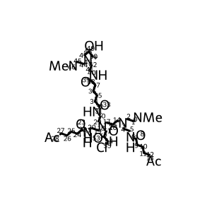 CNCCN(CCNC(=O)CCCCC(C)=O)CC(O)C[N+](CCNC(=O)CCCCC(C)=O)(CCNC(=O)CCCCC(=O)NCC[N+]1(CCNC)CC(O)C1)CC(O)CCl